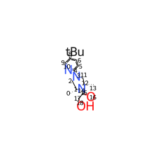 C[C@@H]1CN(c2ccc(C(C)(C)C)cn2)C[C@H](C)N1C(=O)CO